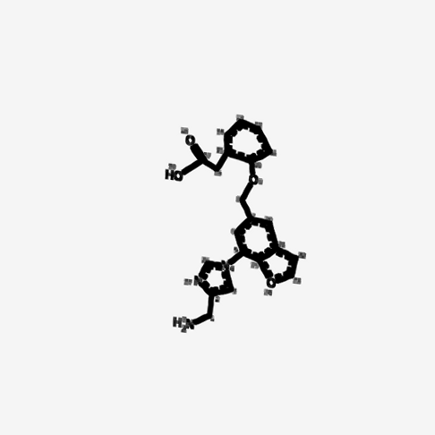 NCc1cn(-c2cc(COc3ccccc3CC(=O)O)cc3ccoc23)cn1